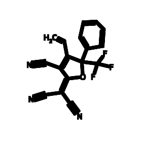 C=CC1=C(C#N)C(=C(C#N)C#N)OC1(c1ccccc1)C(F)(F)F